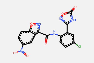 O=C(Nc1ccc(Cl)cc1-c1noc(=O)[nH]1)c1noc2ccc([N+](=O)[O-])cc12